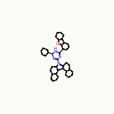 c1ccc(C2N=C(n3c4ccc5ccccc5c4c4c5ccccc5ccc43)N=C(c3cccc4c3oc3ccccc34)N2)cc1